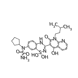 CC(C)CCn1c(=O)c(C2=NS(O)(O)c3cc(N(C4CCCC4)S(N)(=O)=O)ccc3N2)c(O)c2cccnc21